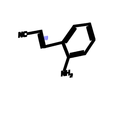 N#C/C=C/c1ccccc1N